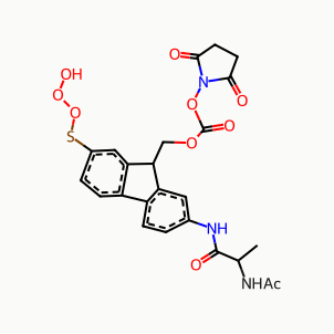 CC(=O)NC(C)C(=O)Nc1ccc2c(c1)C(COC(=O)ON1C(=O)CCC1=O)c1cc(SOOO)ccc1-2